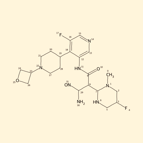 CN1CC(F)CNC1C(C(=O)Nc1cncc(F)c1C1CCN(C2COC2)CC1)C(N)N=O